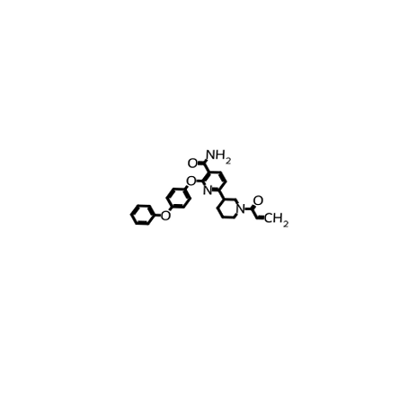 C=CC(=O)N1CCCC(c2ccc(C(N)=O)c(Oc3ccc(Oc4ccccc4)cc3)n2)C1